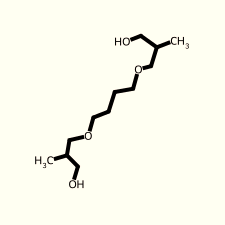 CC(CO)COCCCCOCC(C)CO